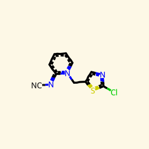 N#CN=c1ccccn1Cc1cnc(Cl)s1